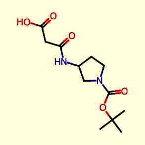 CC(C)(C)OC(=O)N1CCC(NC(=O)CC(=O)O)C1